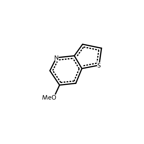 COc1cnc2ccsc2c1